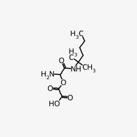 CCCCC(C)(C)NC(=O)C(N)OC(=O)C(=O)O